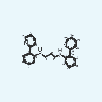 c1ccc(-c2ccccc2PCCCPc2ccccc2-c2ccccn2)nc1